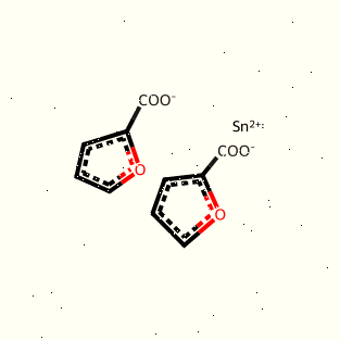 O=C([O-])c1ccco1.O=C([O-])c1ccco1.[Sn+2]